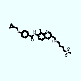 Cc1c(NC(=O)c2ccc(OCC3CC3)cc2)ccc2cc(CNCCCCS(C)(=O)=O)cnc12